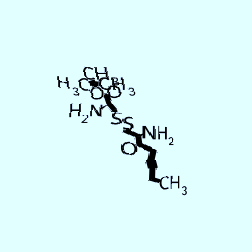 CCC#CCC(=O)[C@@H](N)CSSC[C@H](N)C(=O)OC(C)(C)C